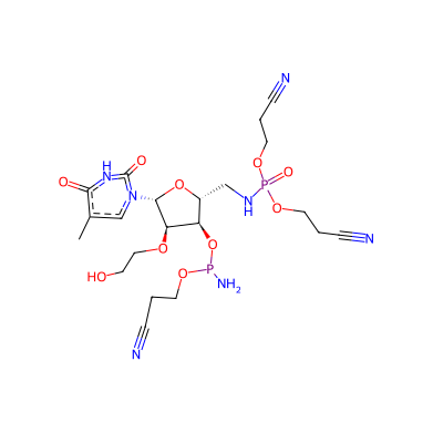 Cc1cn([C@@H]2O[C@H](CNP(=O)(OCCC#N)OCCC#N)[C@@H](OP(N)OCCC#N)[C@H]2OCCO)c(=O)[nH]c1=O